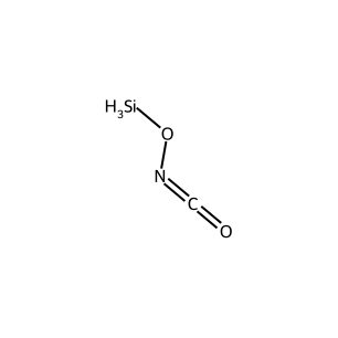 O=C=NO[SiH3]